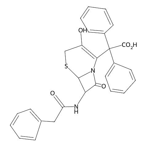 O=C(Cc1ccccc1)NC1C(=O)N2C(C(C(=O)O)(c3ccccc3)c3ccccc3)=C(O)CSC12